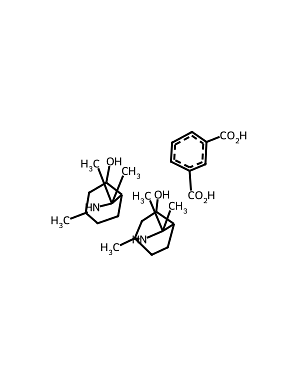 CC12CCC(C(O)C1)C(C)(C)N2.CC12CCC(C(O)C1)C(C)(C)N2.O=C(O)c1cccc(C(=O)O)c1